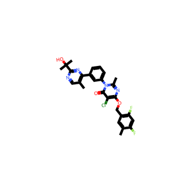 Cc1cc(COc2nc(C)n(-c3cccc(-c4nc(C(C)(C)O)ncc4C)c3)c(=O)c2Cl)c(F)cc1F